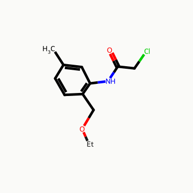 CCOCc1ccc(C)cc1NC(=O)CCl